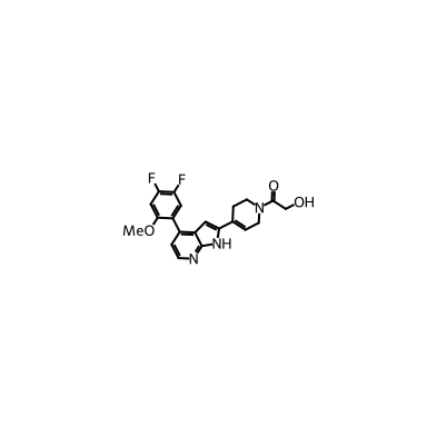 COc1cc(F)c(F)cc1-c1ccnc2[nH]c(C3=CCN(C(=O)CO)CC3)cc12